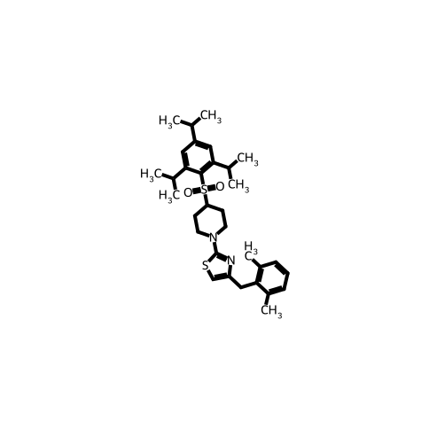 Cc1cccc(C)c1Cc1csc(N2CCC(S(=O)(=O)c3c(C(C)C)cc(C(C)C)cc3C(C)C)CC2)n1